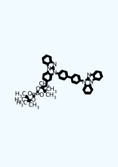 CC1(C)OB(B2OC(C)(C)C(C)(Cc3ccc4c(c3)n(-c3ccc(-c5ccc(-n6c7ccccc7n7c8ccccc8nc67)cc5)cc3)c3nc5ccccc5n43)O2)OC1(C)C